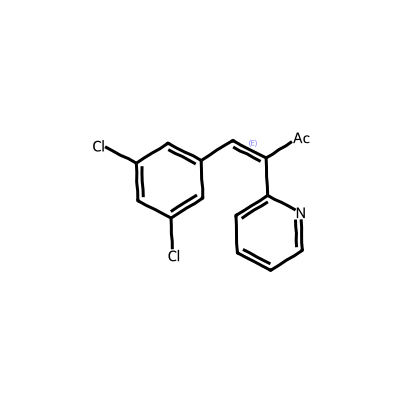 CC(=O)/C(=C/c1cc(Cl)cc(Cl)c1)c1ccccn1